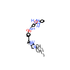 CC(C)N1CCC(CN[C@H]2CC2c2ccc(COC(=O)NCc3ccc(C(=O)Nc4ccccc4N)cc3)cc2)CC1